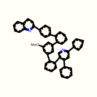 COc1cc(-c2ccccc2-c2ccc(-c3ccc4ccccc4n3)cc2)cc(-c2ccccc2-c2cnc(-c3ccccc3)cc2-c2ccccc2)c1